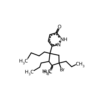 CCCCC(CC(Br)(CC)CCC)(c1ccc(=O)[nH]n1)C(CC)CCC